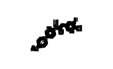 CC(=O)N1CCN(c2ccc(NC(=O)Cc3cnc(Cl)c(F)c3)nc2)CC1